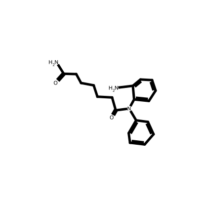 NC(=O)CCCCCC(=O)N(c1ccccc1)c1ccccc1N